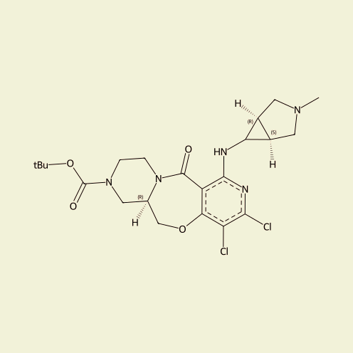 CN1C[C@@H]2C(Nc3nc(Cl)c(Cl)c4c3C(=O)N3CCN(C(=O)OC(C)(C)C)C[C@@H]3CO4)[C@@H]2C1